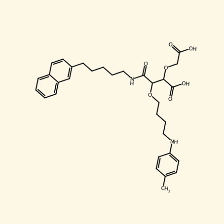 Cc1ccc(NCCCCOC(C(=O)NCCCCCc2ccc3ccccc3c2)C(OCC(=O)O)C(=O)O)cc1